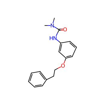 CN(C)C(=O)Nc1cccc(OCCc2ccccc2)c1